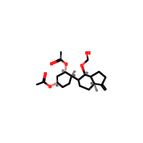 C=C1CCC2[C@H](OCO)C([C@@]3(C)CC[C@H](OC(C)=O)C[C@@H]3OC(C)=O)CC[C@]12C